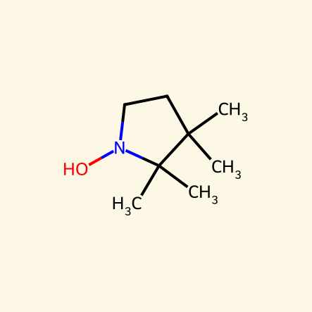 CC1(C)CCN(O)C1(C)C